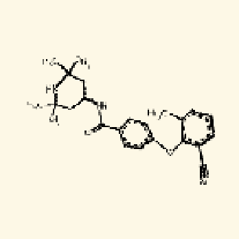 Cc1cccc(C#N)c1Oc1ccc(C(=O)NC2CC(C)(C)NC(C)(C)C2)cc1